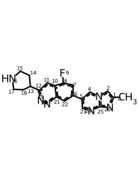 Cc1cn2cc(-c3cc(F)c4cc(C5CCNCC5)nnc4c3)cnc2n1